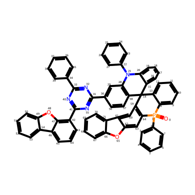 O=P1(c2ccccc2)c2ccccc2C2(c3ccccc3N(c3ccccc3)c3cc(-c4nc(-c5ccccc5)nc(-c5cccc6c5oc5ccccc56)n4)ccc32)c2cc3c(cc21)oc1ccccc13